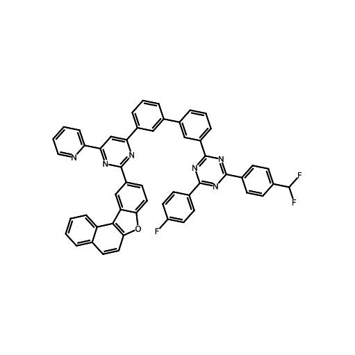 Fc1ccc(-c2nc(-c3ccc(C(F)F)cc3)nc(-c3cccc(-c4cccc(-c5cc(-c6ccccn6)nc(-c6ccc7oc8ccc9ccccc9c8c7c6)n5)c4)c3)n2)cc1